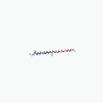 COCCOCCOCCOCCNCCCCCNCCCCC(N)=O